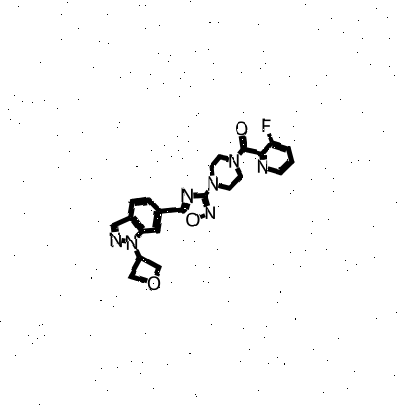 O=C(c1ncccc1F)N1CCN(c2noc(-c3ccc4cnn(C5COC5)c4c3)n2)CC1